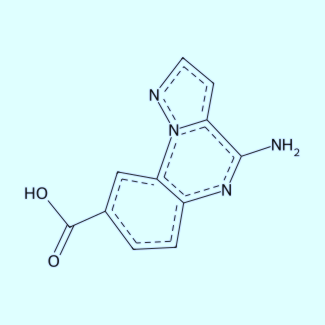 Nc1nc2ccc(C(=O)O)cc2n2nccc12